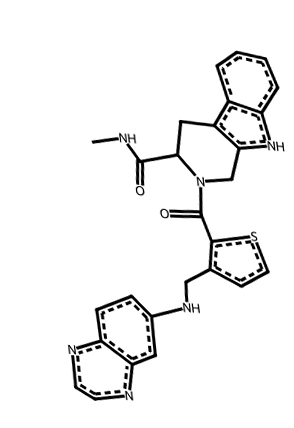 CNC(=O)C1Cc2c([nH]c3ccccc23)CN1C(=O)c1sccc1CNc1ccc2nccnc2c1